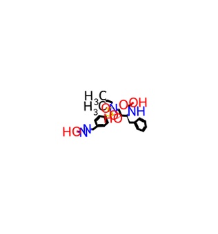 CC(C)CN(C[C@@H](O)[C@H](Cc1ccccc1)NC(=O)O)S(=O)(=O)c1ccc(CN=NO)cc1